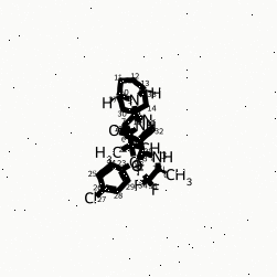 C[C@H](NC(=O)c1ccc(N2[C@@H]3CC[C@H]2C[C@@H](NC(=O)C(C)(C)Oc2ccc(Cl)cc2)C3)nc1)C(F)(F)F